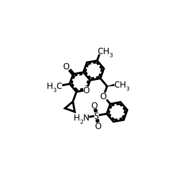 Cc1cc([C@@H](C)Oc2ccccc2S(N)(=O)=O)c2oc(C3CC3)c(C)c(=O)c2c1